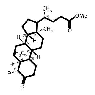 COC(=O)CC[C@@H](C)C1CC[C@H]2[C@@H]3CC[C@@H]4[C@@H](F)C(=O)CC[C@]4(C)[C@H]3CC[C@]12C